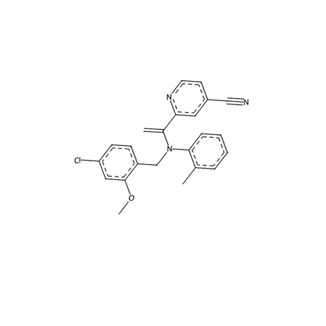 C=C(c1cc(C#N)ccn1)N(Cc1ccc(Cl)cc1OC)c1ccccc1C